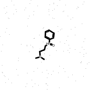 CN(C)CCC[PH](=O)c1ccccc1